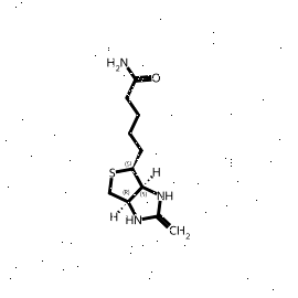 C=C1N[C@H]2[C@H](CS[C@H]2CCCCC(N)=O)N1